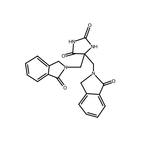 O=C1NC(=O)C(CN2Cc3ccccc3C2=O)(CN2Cc3ccccc3C2=O)N1